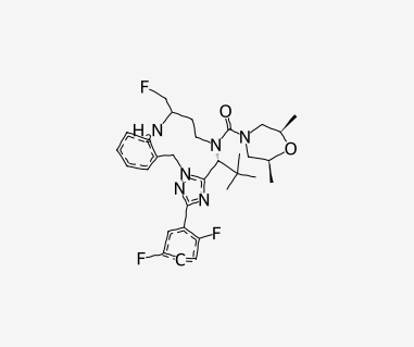 C[C@@H]1CN(C(=O)N(CCC(N)CF)[C@@H](c2nc(-c3cc(F)ccc3F)nn2Cc2ccccc2)C(C)(C)C)C[C@H](C)O1